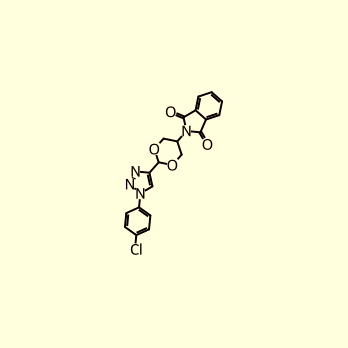 O=C1c2ccccc2C(=O)N1C1COC(c2cn(-c3ccc(Cl)cc3)nn2)OC1